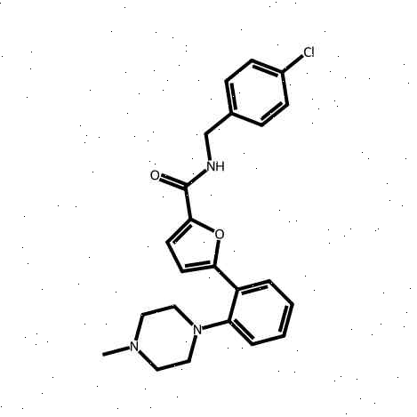 CN1CCN(c2ccccc2-c2ccc(C(=O)NCc3ccc(Cl)cc3)o2)CC1